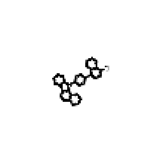 Clc1ccc(-c2ccc(-n3c4ccccc4c4ccc5ccccc5c43)cc2)c2ccccc12